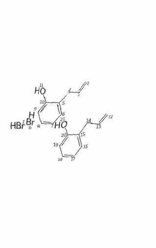 Br.Br.C=CCc1ccccc1O.C=CCc1ccccc1O